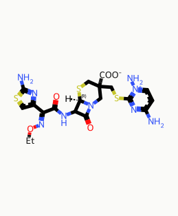 CCON=C(C(=O)NC1C(=O)N2CC(CSc3nc(N)cc[n+]3N)(C(=O)[O-])CS[C@H]12)c1csc(N)n1